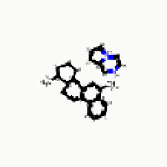 Cc1cc2c3c(ccc2c2ccccc12)C(C)CCC3.c1cc2cnccn2c1